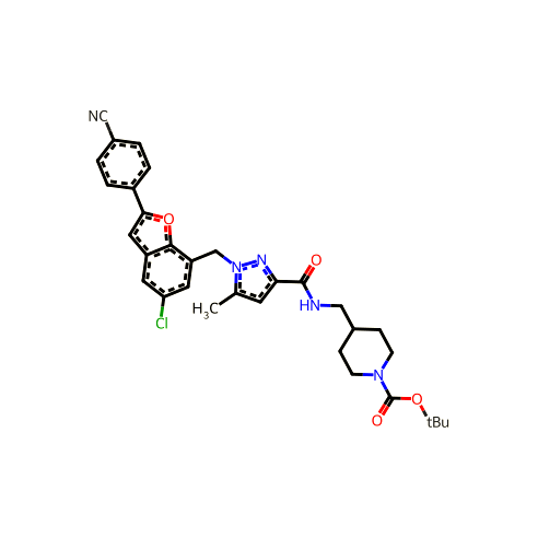 Cc1cc(C(=O)NCC2CCN(C(=O)OC(C)(C)C)CC2)nn1Cc1cc(Cl)cc2cc(-c3ccc(C#N)cc3)oc12